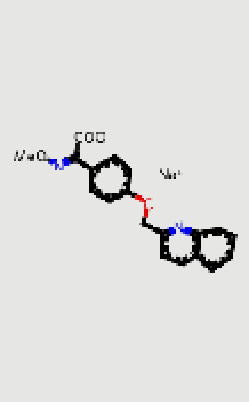 CON=C(C(=O)[O-])c1ccc(OCc2ccc3ccccc3n2)cc1.[Na+]